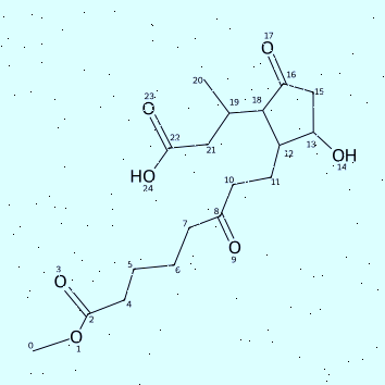 COC(=O)CCCCC(=O)CCC1C(O)CC(=O)C1C(C)CC(=O)O